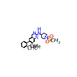 COc1cc2nc(NC3CCN(S(C)(=O)=O)CC3)ncc2cc1-c1ccccc1C=O